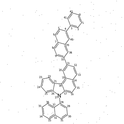 c1ccc(-c2ccc3ccc(-c4ccc5ccc6c(c5c4)c4ccccc4n6-c4cccc5ccccc45)cc3c2)cc1